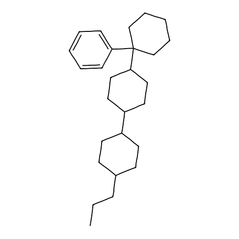 CCCC1CCC(C2CCC(C3(c4ccccc4)CCCCC3)CC2)CC1